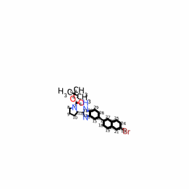 CC(C)(C)OC(=O)N1CCC[C@H]1c1nc2cc(-c3ccc4cc(Br)ccc4c3)ccc2[nH]1